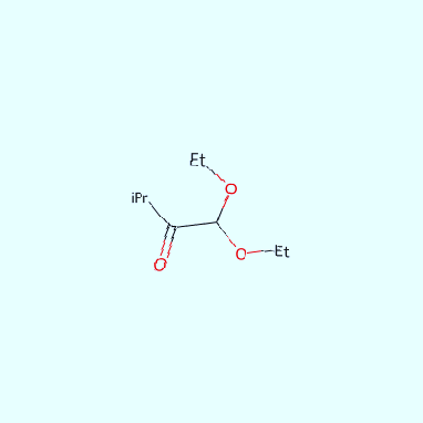 CCOC(OCC)C(=O)C(C)C